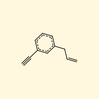 C#Cc1cccc(CC=C)c1